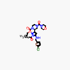 C=CCOC(=O)N1CCN(C(=O)N2CCOCC2)CC1c1cc(NCc2ccc(Cl)s2)n(C(=O)C(C)(C)C)n1